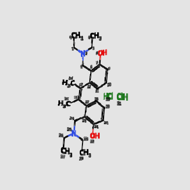 CCN(CC)Cc1c(O)cccc1C(C)=C(C)c1cccc(O)c1CN(CC)CC.Cl.Cl